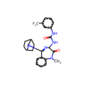 CN1C(=O)C(NC(=O)Nc2cccc(C(F)(F)F)c2)N=C(N2CC3CCC(CC3)C2)c2ccccc21